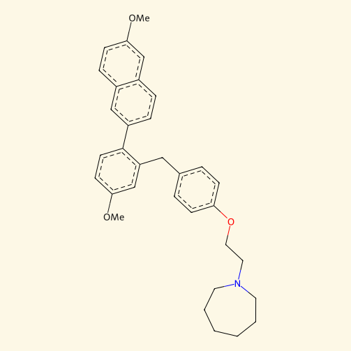 COc1ccc(-c2ccc3cc(OC)ccc3c2)c(Cc2ccc(OCCN3CCCCCC3)cc2)c1